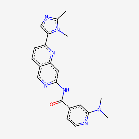 Cc1ncc(-c2ccc3cnc(NC(=O)c4ccnc(N(C)C)c4)cc3n2)n1C